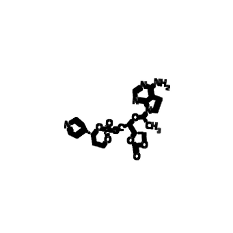 C[C@@H](O[C@H](COP1(=O)OCC[C@H](c2ccncc2)O1)[C@@H]1COC(=O)O1)n1ccc2c(N)ncnc21